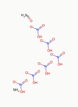 O=[N+]([O-])O.O=[N+]([O-])O.O=[N+]([O-])O.O=[N+]([O-])O.O=[N+]([O-])O.O=[N+]([O-])O.O=[SiH2].[SiH4]